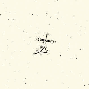 C[C@@H]1C[C@H]1S(C)(=O)=O